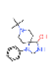 CC(C)(C)N1CCC2(CC1)C(O)NCN2c1ccccc1